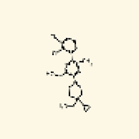 Cc1nc(N2CCC(CN)(C3CC3)CC2)c(CO)nc1-c1cccc(Cl)c1Cl